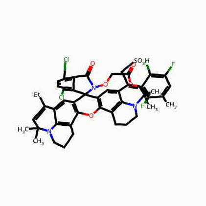 CCC1=CC(C)(C)N2CCCc3c4c(cc1c32)C1(c2cc3c5c(c2O4)CCCN5C(C)(C)C=C3CS(=O)(=O)O)c2c(Cl)ccc(Cl)c2C(=O)N1OCC(=O)Oc1c(F)c(C)cc(F)c1F